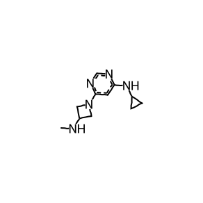 CNC1CN(c2cc(NC3CC3)ncn2)C1